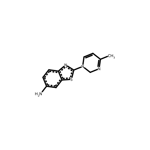 CC1=NCN(c2nc3ccc(N)cc3s2)C=C1